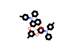 Cc1ccc(N(c2ccccc2)c2cc3c(c4ccccc24)B2c4c(cc(C)cc4Oc4cc(N(c5ccccc5)c5ccc(C)cc5)c5ccccc5c42)O3)cc1